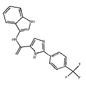 C=C(Nc1c[nH]c2ccccc12)c1cnc(-c2ccc(C(F)(F)F)cc2)[nH]1